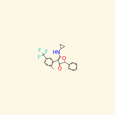 Cc1ccc(C(F)(F)F)cc1C1=C(NC2CC2)OC(c2ccccc2)C1=O